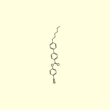 CCCCCCc1ccc(-c2ccc(C(=O)Oc3ccc(C#N)cc3)cc2)cc1